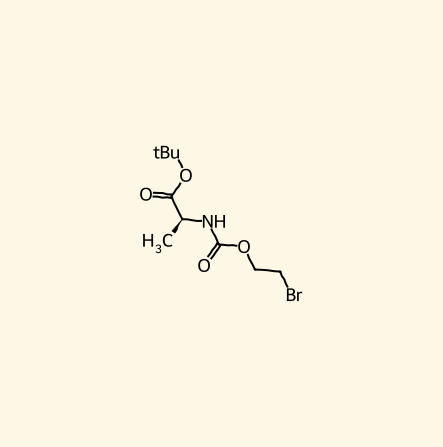 C[C@H](NC(=O)OCCBr)C(=O)OC(C)(C)C